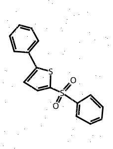 O=S(=O)(c1ccccc1)c1ccc(-c2ccccc2)s1